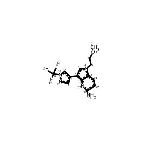 COCCn1cc(-c2cnn(C(F)(F)F)c2)c2nc(N)ccc21